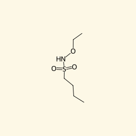 CCCCS(=O)(=O)NOCC